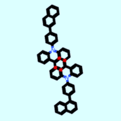 C1=CC(N(c2ccc(-c3ccc4ccccc4c3)cc2)c2ccccc2-c2ccc(-c3ccccc3N(c3ccccc3)c3ccc(-c4cccc5ccccc45)cc3)cc2)=CCC1